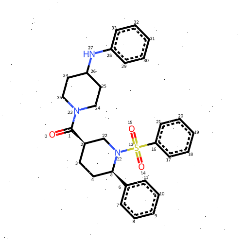 O=C([C@@H]1CC[C@H](c2ccccc2)N(S(=O)(=O)c2ccccc2)C1)N1CCC(Nc2ccccc2)CC1